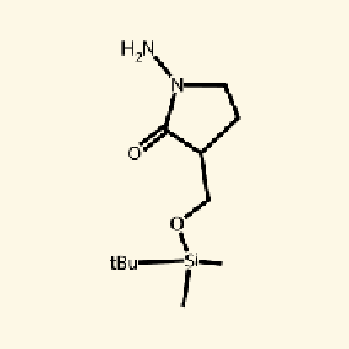 CC(C)(C)[Si](C)(C)OCC1CCN(N)C1=O